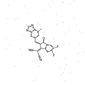 Cc1cc(/C=C2\C(=O)c3cc(F)c(F)cc3C2=C(C#N)C#N)cc2nsnc12